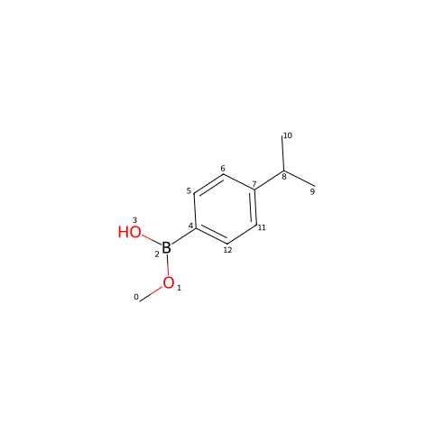 COB(O)c1ccc(C(C)C)cc1